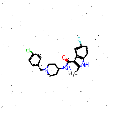 Cc1[nH]c2ccc(F)cc2c1C(=O)NC1CCN(Cc2ccc(Cl)cc2)CC1